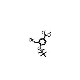 COC(=O)c1ccc(O[Si](C)(C)C(C)(C)C)c(CBr)c1